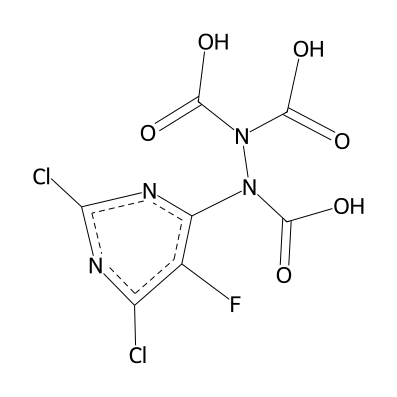 O=C(O)N(C(=O)O)N(C(=O)O)c1nc(Cl)nc(Cl)c1F